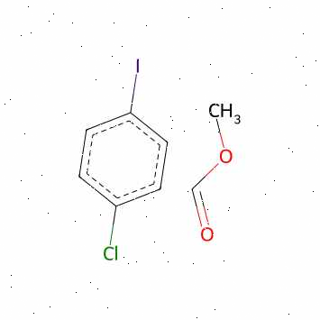 COC=O.Clc1ccc(I)cc1